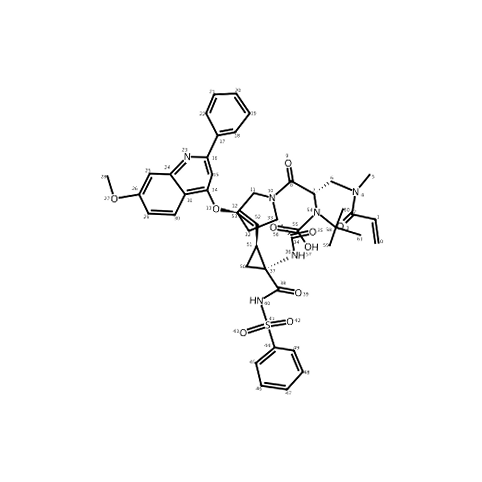 C=CC(=O)N(C)C[C@@H](C(=O)N1C[C@H](Oc2cc(-c3ccccc3)nc3cc(OC)ccc23)C[C@H]1C(=O)N[C@]1(C(=O)NS(=O)(=O)c2ccccc2)C[C@H]1C=C)N(C(=O)O)C(C)(C)C